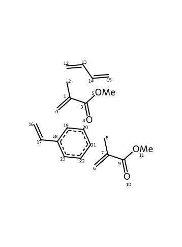 C=C(C)C(=O)OC.C=C(C)C(=O)OC.C=CC=C.C=Cc1ccccc1